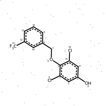 Oc1cc(Cl)c(OCc2cccc(C(F)(F)F)c2)c(Cl)c1